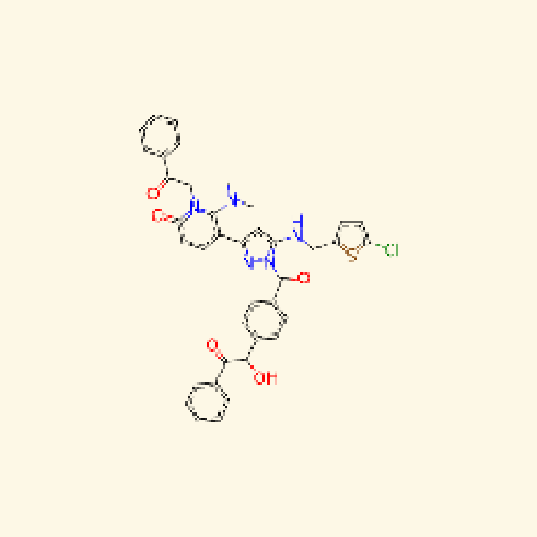 CN(C)c1c(-c2cc(NCc3ccc(Cl)s3)n(C(=O)c3ccc(C(O)C(=O)c4ccccc4)cc3)n2)ccc(=O)n1CC(=O)c1ccccc1